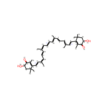 CC(C=CC=C(C)/C=C/C1=C(C)C(=O)C(O)CC1(C)C)=C/C=C/C=C(C)C=CC=C(C)/C=C/C1=C(C)C(=O)C(O)CC1(C)C